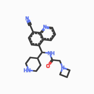 N#Cc1ccc(C(NC(=O)CN2CCC2)C2CCNCC2)c2cccnc12